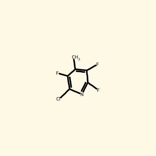 Cc1c(F)c(F)nc(Cl)c1F